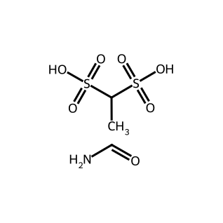 CC(S(=O)(=O)O)S(=O)(=O)O.NC=O